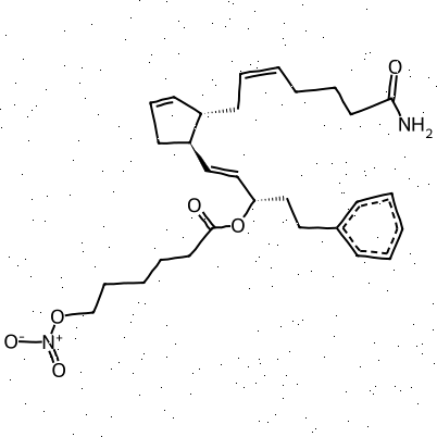 NC(=O)CCC/C=C\C[C@H]1C=CC[C@@H]1/C=C/[C@H](CCc1ccccc1)OC(=O)CCCCCO[N+](=O)[O-]